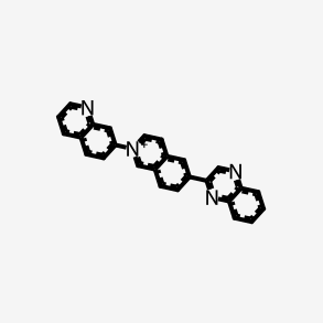 c1cnc2cc(-[n+]3ccc4cc(-c5cnc6ccccc6n5)ccc4c3)ccc2c1